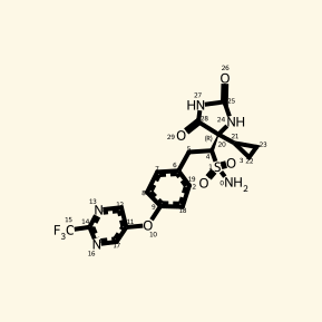 NS(=O)(=O)C(Cc1ccc(Oc2cnc(C(F)(F)F)nc2)cc1)[C@]1(C2CC2)NC(=O)NC1=O